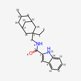 CCC1(CNC(=O)c2cc3ccccc3[nH]2)CC2CC(C)CC(C2)C1